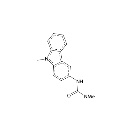 CNC(=O)Nc1ccc2c(c1)c1ccccc1n2C